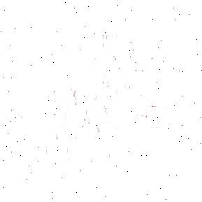 Cc1cc2c3c(c1)N(c1ccc(C(C)(C)C)cc1)c1oc4cc5c(cc4c1B3c1cc3c(cc1N2c1cc2c(cc1-c1ccccc1)C(C)(C)CCC2(C)C)C(C)(C)CCC3(C)C)C1(C)CCC5(C)CC1